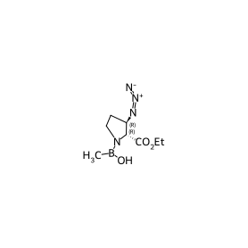 CCOC(=O)[C@H]1[C@H](N=[N+]=[N-])CCN1B(C)O